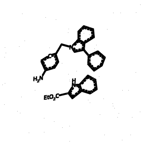 CCOC(=O)c1cc2ccccc2[nH]1.Nc1ccc(Cn2cc(-c3ccccc3)c3ccccc32)cc1